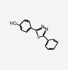 Oc1ccc(-c2nnc(-c3ccccc3)s2)cc1